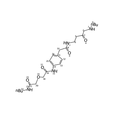 CCCCNCC(=O)CCNC(=O)Cc1ccc(NC(=O)COCC(=O)NCCCC)cc1